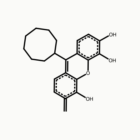 C=c1ccc2c(c1O)Oc1c(ccc(O)c1O)C=2C1CCCCCCC1